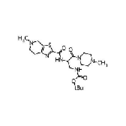 CN1CCN(C(=O)C(CNC(=O)OC(C)(C)C)NC(=O)c2nc3c(s2)CN(C)CC3)CC1